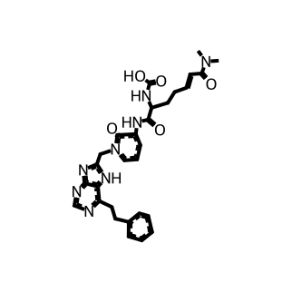 CN(C)C(=O)/C=C/CCC(NC(=O)O)C(=O)Nc1cccn(Cc2nc3ncnc(CCc4ccccc4)c3[nH]2)c1=O